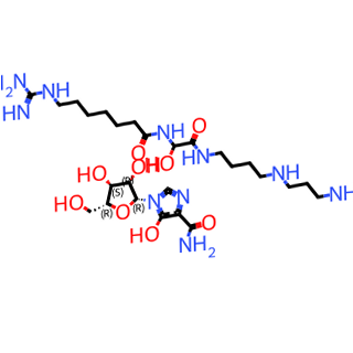 N=C(N)NCCCCCCC(=O)NC(O)C(=O)NCCCCNCCCN.NC(=O)c1ncn([C@@H]2O[C@H](CO)[C@@H](O)[C@H]2O)c1O